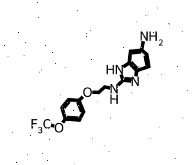 Nc1ccc2nc(NCCOc3ccc(OC(F)(F)F)cc3)[nH]c2c1